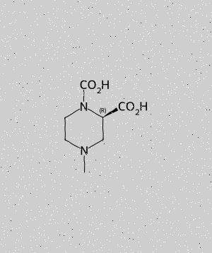 CN1CCN(C(=O)O)[C@@H](C(=O)O)C1